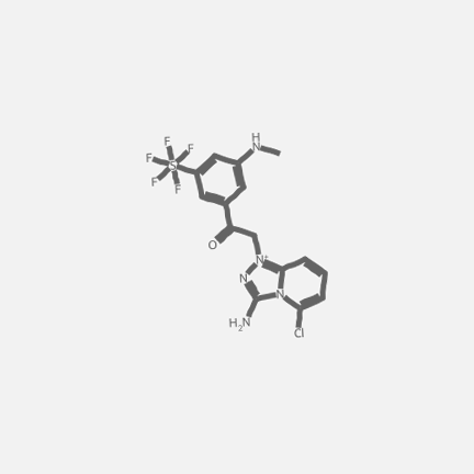 CNc1cc(C(=O)C[n+]2nc(N)n3c(Cl)cccc32)cc(S(F)(F)(F)(F)F)c1